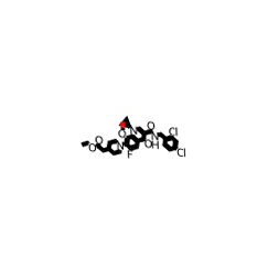 CCOC(=O)CC1CCN(c2c(F)cc3c(=O)c(C(=O)NCc4ccc(Cl)cc4Cl)cn(C4CC4)c3c2OC)CC1